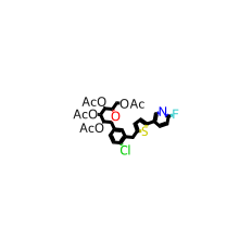 CC(=O)OCC1OC(c2ccc(Cl)c(Cc3ccc(-c4ccc(F)nc4)s3)c2)[C@H](OC(C)=O)C(OC(C)=O)[C@@H]1OC(C)=O